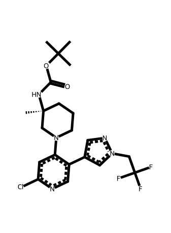 CC(C)(C)OC(=O)N[C@@]1(C)CCCN(c2cc(Cl)ncc2-c2cnn(CC(F)(F)F)c2)C1